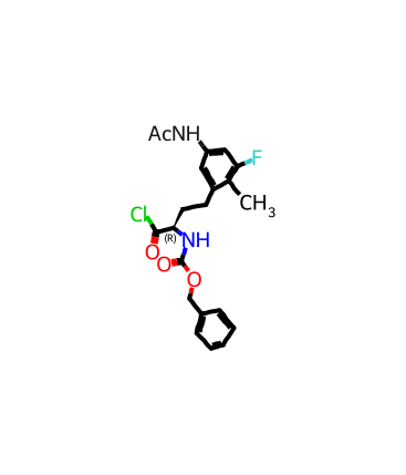 CC(=O)Nc1cc(F)c(C)c(CC[C@@H](NC(=O)OCc2ccccc2)C(=O)Cl)c1